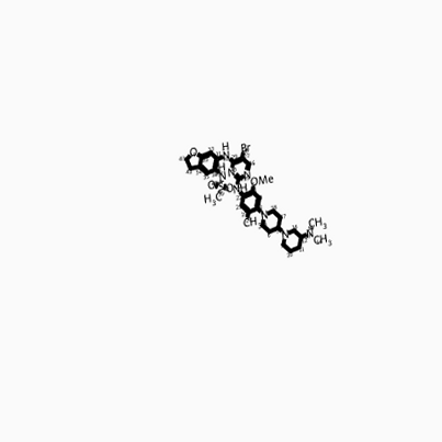 COc1cc(N2CCC(N3CCCC(N(C)C)C3)CC2)c(C)cc1Nc1ncc(Br)c(Nc2cc3c(cc2NS(C)(=O)=O)CCO3)n1